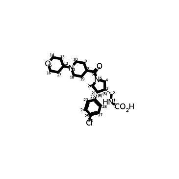 O=C(O)NC[C@H]1CN(C(=O)C2CCN(C3CCOCC3)CC2)C[C@H]1c1ccc(Cl)cc1